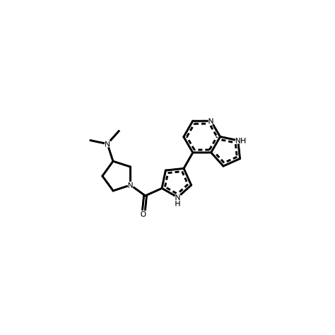 CN(C)C1CCN(C(=O)c2cc(-c3ccnc4[nH]ccc34)c[nH]2)C1